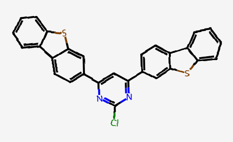 Clc1nc(-c2ccc3c(c2)sc2ccccc23)cc(-c2ccc3c(c2)sc2ccccc23)n1